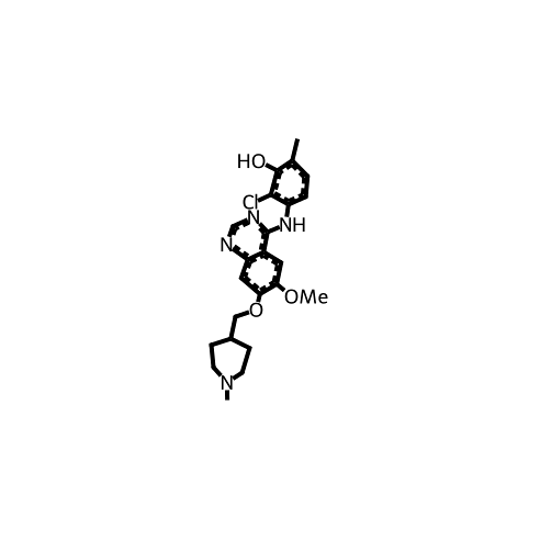 COc1cc2c(Nc3ccc(C)c(O)c3Cl)ncnc2cc1OCC1CCN(C)CC1